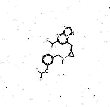 CN(Cc1cccc(OC(F)F)c1)[C@H]1C/C1=C/c1cc(C(F)F)nc2ncnn12